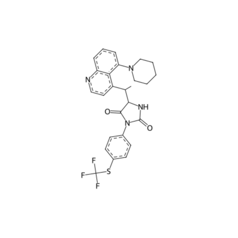 CC(c1ccnc2cccc(N3CCCCC3)c12)C1NC(=O)N(c2ccc(SC(F)(F)F)cc2)C1=O